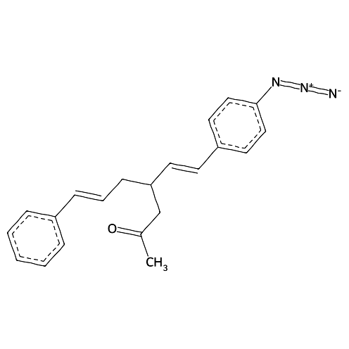 CC(=O)CC(C=Cc1ccc(N=[N+]=[N-])cc1)CC=Cc1ccccc1